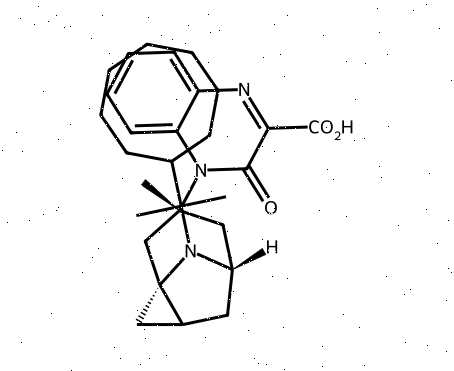 CC(C)(C1CCCCCCC1)N1[C@H]2CC3C[C@@]31C[C@](C)(n1c(=O)c(C(=O)O)nc3ccccc31)C2